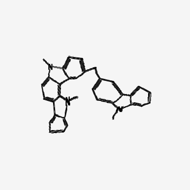 Cn1c2ccccc2c2cc(Cc3ccc4c(c3)c3c(ccc5c6ccccc6n(C)c53)n4C)ccc21